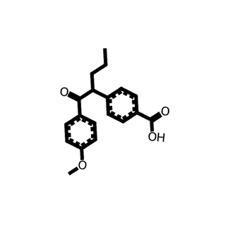 CCCC(C(=O)c1ccc(OC)cc1)c1ccc(C(=O)O)cc1